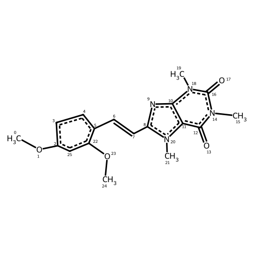 COc1ccc(C=Cc2nc3c(c(=O)n(C)c(=O)n3C)n2C)c(OC)c1